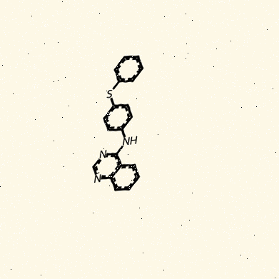 c1ccc(Sc2ccc(Nc3ncnc4ccccc34)cc2)cc1